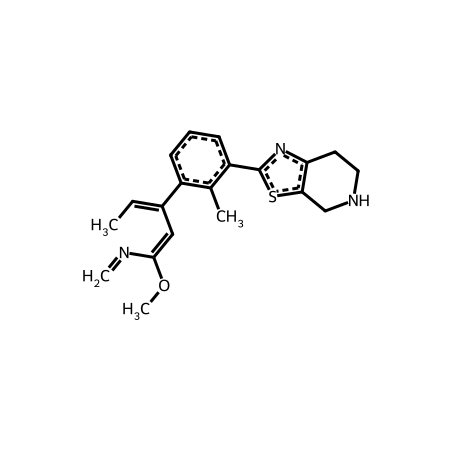 C=N/C(=C\C(=C/C)c1cccc(-c2nc3c(s2)CNCC3)c1C)OC